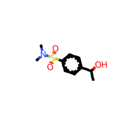 CC(O)c1ccc(S(=O)(=O)N(C)C)cc1